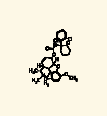 COc1ccc(C)c2c1O[C@H]1[C@@H](OC(=O)N(C)C3(c4ccccc4Cl)CCCCC3=O)C=C[C@H]3[C@@H](C)N(C)CC[C@@]231